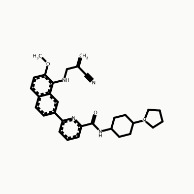 C=C(C#N)CNc1c(OC)ccc2ccc(-c3cccc(C(=O)NC4CCC(N5CCCC5)CC4)n3)cc12